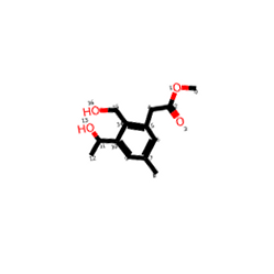 COC(=O)Cc1cc(C)cc(C(C)O)c1CO